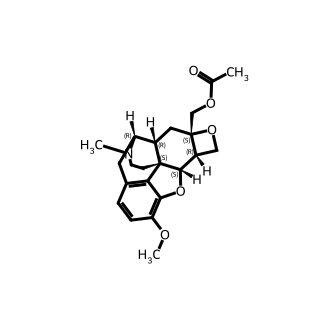 COc1ccc2c3c1O[C@H]1[C@H]4CO[C@@]4(COC(C)=O)C[C@H]4[C@@H](C2)N(C)CC[C@@]341